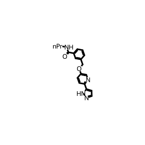 CCCNC(=O)c1cccc(COc2ccc(-c3ccn[nH]3)nc2)c1